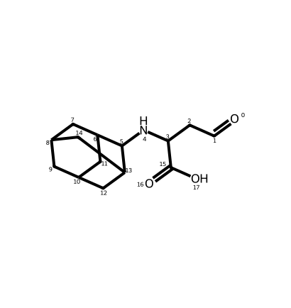 O=CCC(NC1C2CC3CC(C2)CC1C3)C(=O)O